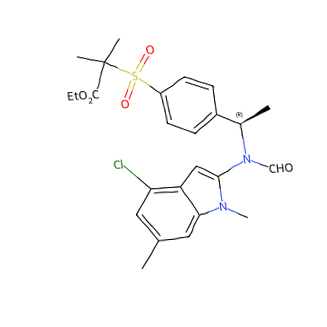 CCOC(=O)C(C)(C)S(=O)(=O)c1ccc([C@@H](C)N(C=O)c2cc3c(Cl)cc(C)cc3n2C)cc1